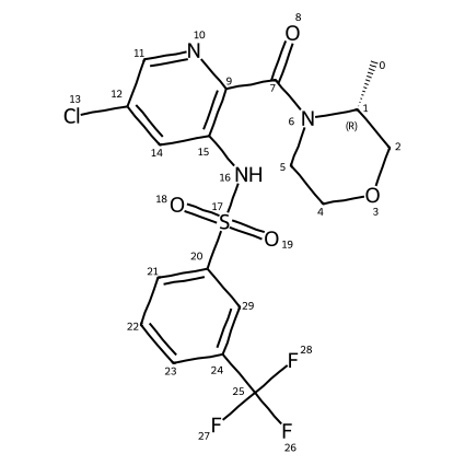 C[C@@H]1COCCN1C(=O)c1ncc(Cl)cc1NS(=O)(=O)c1cccc(C(F)(F)F)c1